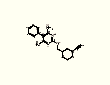 N#CC1CCCC(COc2nc(N)c(-c3ccccc3)c(O)n2)C1